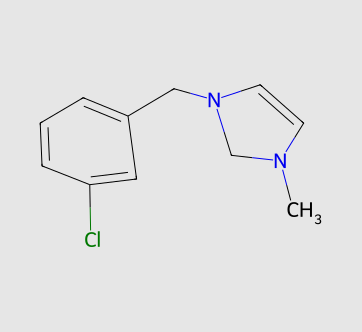 CN1C=CN(Cc2cccc(Cl)c2)C1